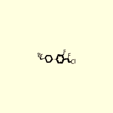 FC(=CCl)c1ccc([C@H]2CC[C@H](CBr)CC2)cc1F